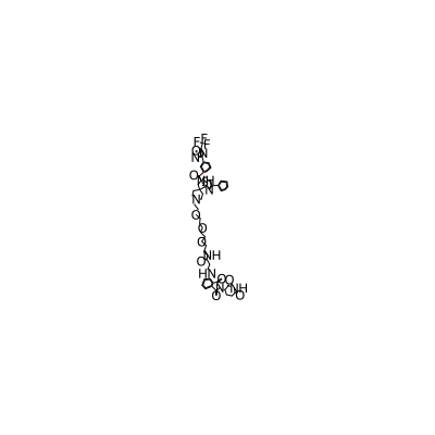 O=C(CCNc1cccc2c1C(=O)N(C1CCC(=O)NC1=O)C2=O)NCCOCCOCCOCCN1CCC(CNC(=O)c2cccc(-c3noc(C(F)(F)F)n3)c2)(c2nc(-c3ccccc3)cs2)CC1